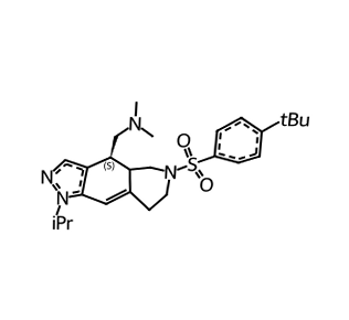 CC(C)n1ncc2c1C=C1CCN(S(=O)(=O)c3ccc(C(C)(C)C)cc3)CC1[C@@H]2CN(C)C